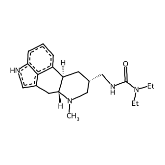 CCN(CC)C(=O)NC[C@H]1C[C@@H]2c3cccc4[nH]cc(c34)C[C@H]2N(C)C1